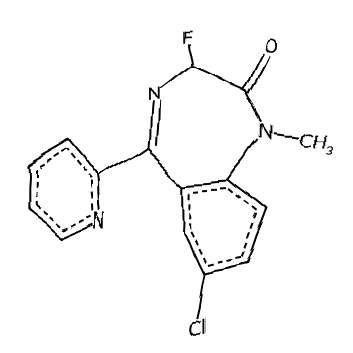 CN1C(=O)C(F)N=C(c2ccccn2)c2cc(Cl)ccc21